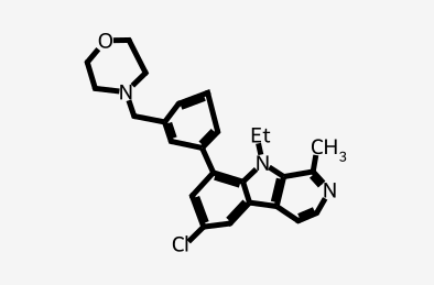 CCn1c2c(-c3cccc(CN4CCOCC4)c3)cc(Cl)cc2c2ccnc(C)c21